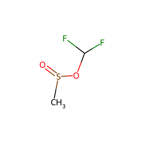 CS(=O)OC(F)F